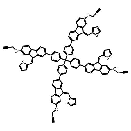 C#CCOc1ccc2c(c1)/C(=C\c1cccs1)c1cc(-c3ccc(C(c4ccc(-c5ccc6c(c5)/C(=C/c5cccs5)c5cc(OCC#C)ccc5-6)cc4)(c4ccc(-c5ccc6c(c5)/C(=C/c5cccs5)c5cc(OCC#C)ccc5-6)cc4)c4ccc(-c5ccc6c(c5)/C(=C/c5cccs5)c5cc(OCC#C)ccc5-6)cc4)cc3)ccc1-2